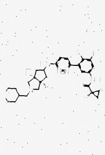 O=C(Nc1cc(F)c(F)c(-c2ccc(NC3C[C@@H]4CN(CC5CCOCC5)C[C@@H]4C3)nn2)c1)C1(F)CC1